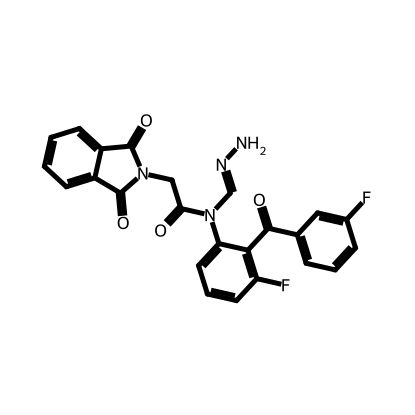 NN=CN(C(=O)CN1C(=O)c2ccccc2C1=O)c1cccc(F)c1C(=O)c1cccc(F)c1